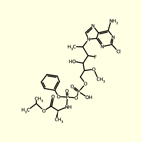 COC(COP(=O)(O)OP(=O)(N[C@@H](C)C(=O)OC(C)C)Oc1ccccc1)C(O)C(F)C(C)n1cnc2c(N)nc(Cl)nc21